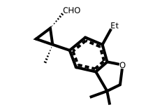 CCc1cc([C@@]2(C)C[C@@H]2C=O)cc2c1OCC2(C)C